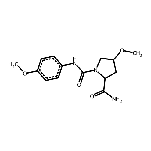 COc1ccc(NC(=O)N2CC(OC)CC2C(N)=O)cc1